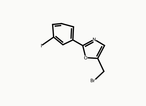 BrCc1cnc(-c2cccc(I)c2)o1